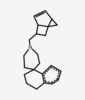 C1=CC2C(CN3CCC4(CCCc5ccccc54)CC3)CC23CC13